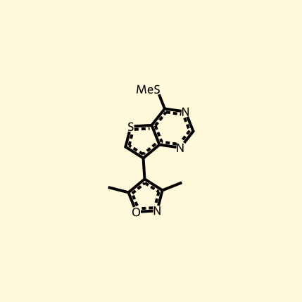 CSc1ncnc2c(-c3c(C)noc3C)csc12